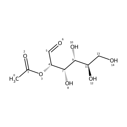 CC(=O)O[C@H](C=O)[C@@H](O)[C@H](O)[C@H](O)CO